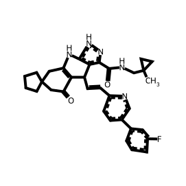 CC1(CNC(=O)c2n[nH]c3c2C(/C=C/c2ccc(-c4cccc(F)c4)cn2)C2=C(CC4(CCCC4)CC2=O)N3)CC1